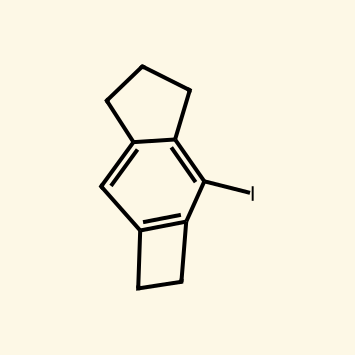 Ic1c2c(cc3c1CC3)CCC2